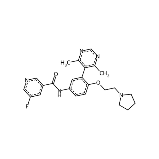 Cc1ncnc(C)c1-c1cc(NC(=O)c2cncc(F)c2)ccc1OCCN1CCCC1